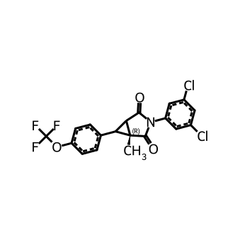 C[C@]12C(=O)N(c3cc(Cl)cc(Cl)c3)C(=O)C1C2c1ccc(OC(F)(F)F)cc1